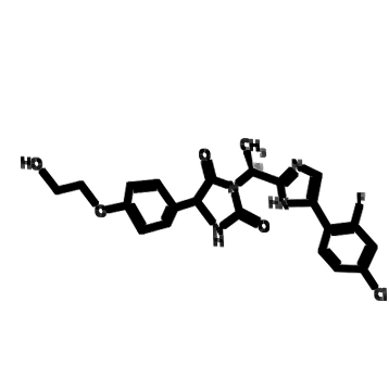 C[C@@H](c1ncc(-c2ccc(Cl)cc2F)[nH]1)N1C(=O)NC(c2ccc(OCCO)cc2)C1=O